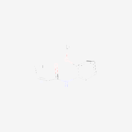 CCOc1ccccc1NC(=O)/C=C\C(=O)O